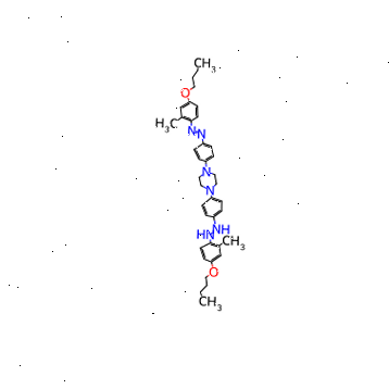 CCCCOc1ccc(/N=N/c2ccc(N3CCN(c4ccc(NNc5ccc(OCCCC)cc5C)cc4)CC3)cc2)c(C)c1